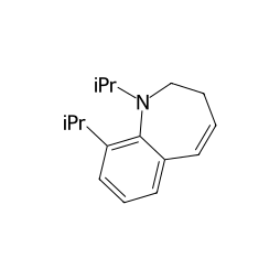 CC(C)c1cccc2c1N(C(C)C)CCC=C2